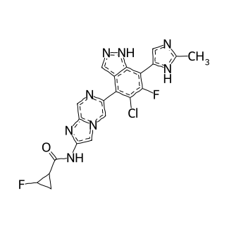 Cc1ncc(-c2c(F)c(Cl)c(-c3cn4cc(NC(=O)C5CC5F)nc4cn3)c3cn[nH]c23)[nH]1